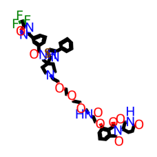 O=C(COc1cccc2c1C(=O)N(C1CCC(=O)NC1=O)C2=O)NCOCCOCCOCCN1CCC(CNC(=O)c2cccc(-c3noc(C(F)(F)F)n3)c2)(c2nc(-c3ccccc3)cs2)CC1